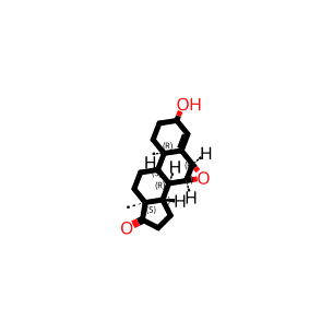 C[C@]12CCC(O)C=C1[C@H]1O[C@H]1[C@@H]1[C@@H]2CC[C@]2(C)C(=O)CC[C@@H]12